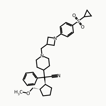 COC[C@H]1CCC[C@@H]1C(C#N)(c1ccccc1)C1CCN(CC2CN(c3ccc(S(=O)(=O)C4CC4)cc3)C2)CC1